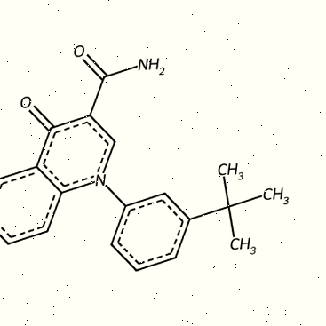 CC(C)(C)c1cccc(-n2cc(C(N)=O)c(=O)c3ccccc32)c1